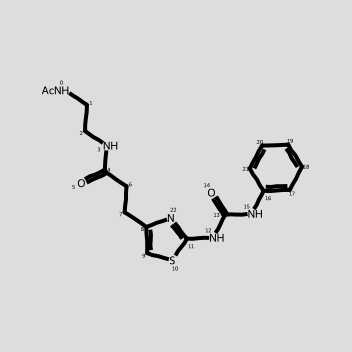 CC(=O)NCCNC(=O)CCc1csc(NC(=O)Nc2ccccc2)n1